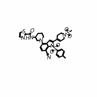 Cc1ccc(S(=O)(=O)n2c(C3=CCN(S(C)(=O)=O)CC3)cc3c(N4CCCC(NC(=O)c5nccs5)C4)ccc(C#N)c32)cc1